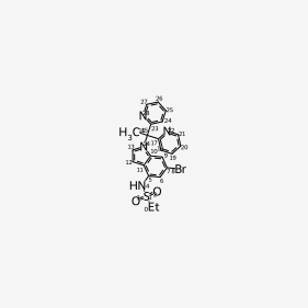 CCS(=O)(=O)Nc1cc(Br)cc2c1ccn2C(C)(c1ccccn1)c1ccccn1